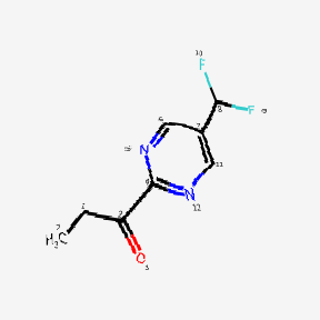 CCC(=O)c1ncc(C(F)F)cn1